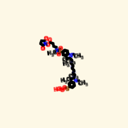 CCN1/C(=C/C=C/C=C/C=C/C2=[N+](CC)c3ccc(S(=O)(=O)N(C)CCCC(=O)ON4C(=O)CCC4=O)cc3C2(C)C)C(C)(C)c2cc(SOOO)ccc21